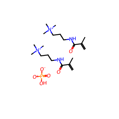 C=C(C)C(=O)NCCC[N+](C)(C)C.C=C(C)C(=O)NCCC[N+](C)(C)C.O=P([O-])([O-])O